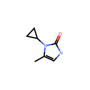 CC1=C[N]C(=O)N1C1CC1